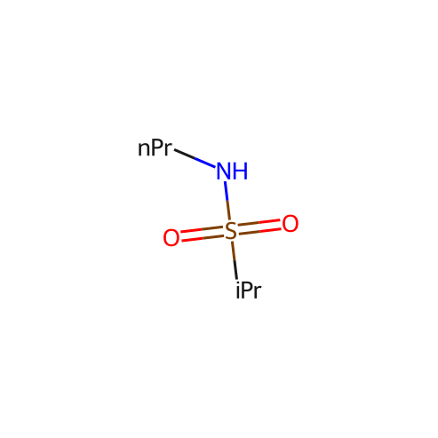 [CH2]CCNS(=O)(=O)C(C)C